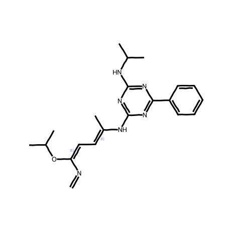 C=N/C(=C\C=C(/C)Nc1nc(NC(C)C)nc(-c2ccccc2)n1)OC(C)C